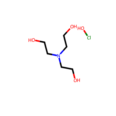 OCCN(CCO)CCO.OCl